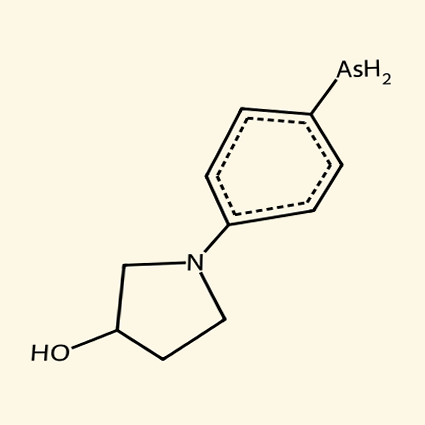 OC1CCN(c2ccc([AsH2])cc2)C1